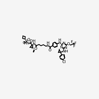 C=C[C@@H]1C[C@]1(NC(=O)CCCCNC(=O)c1ccc(Nc2nc(NC3(c4ccc(Cl)cc4)CC3)nc(OCC(F)(F)F)n2)cc1)C(=O)NS(=O)(=O)C1CCC1